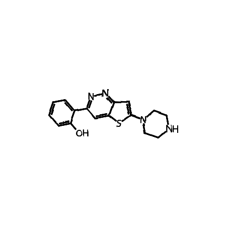 Oc1ccccc1-c1cc2sc(N3CCNCC3)cc2nn1